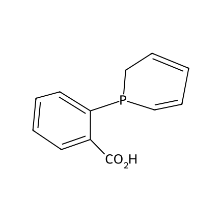 O=C(O)c1ccccc1P1C=CC=CC1